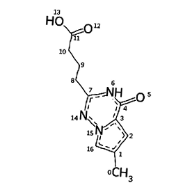 Cc1cc2c(=O)[nH]c(CCCC(=O)O)nn2c1